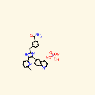 Cc1cccc(-c2[nH]c(Cc3cccc(C(N)=O)c3)nc2-c2ccc3ncccc3c2)n1.O=P(O)(O)O